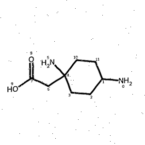 NC1CCC(N)(CC(=O)O)CC1